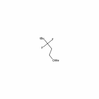 COCCC(F)(F)C(C)(C)C